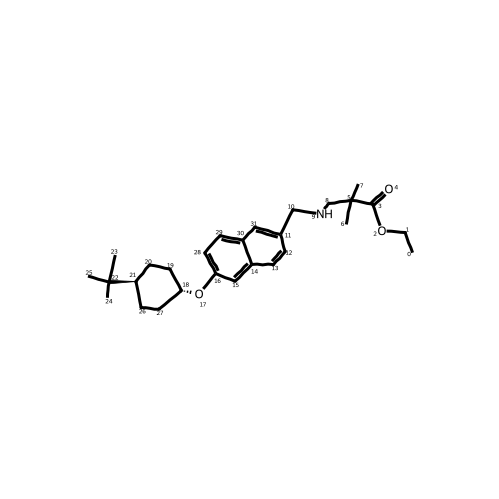 CCOC(=O)C(C)(C)CNCc1ccc2cc(O[C@H]3CC[C@H](C(C)(C)C)CC3)ccc2c1